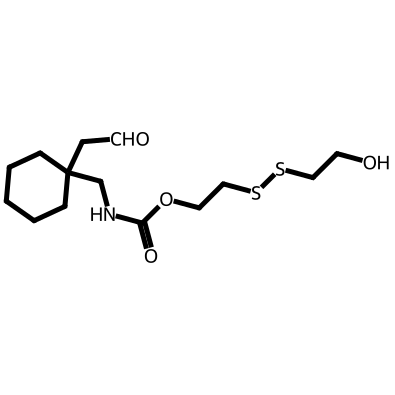 O=CCC1(CNC(=O)OCCSSCCO)CCCCC1